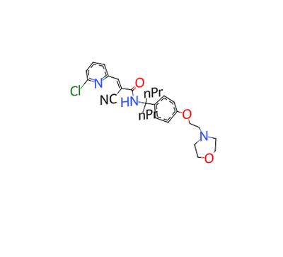 CCCC(CCC)(NC(=O)/C(C#N)=C/c1cccc(Cl)n1)c1ccc(OCCN2CCOCC2)cc1